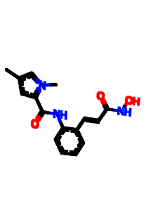 Cc1cc(C(=O)Nc2ccccc2/C=C/C(=O)NO)n(C)c1